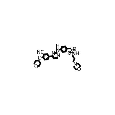 N#Cc1cc(-c2ccnc(Nc3ccc(CS(=O)(=O)NCCCN4CCOCC4)cc3)n2)ccc1OC1CCOCC1